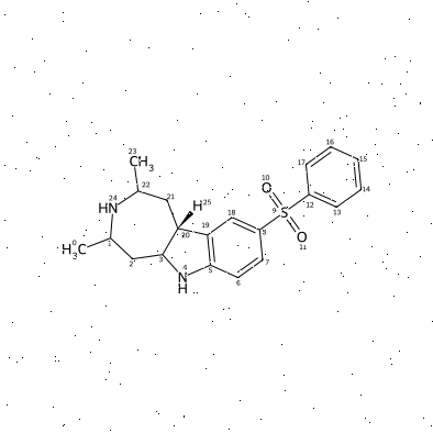 CC1CC2Nc3ccc(S(=O)(=O)c4ccccc4)cc3[C@H]2CC(C)N1